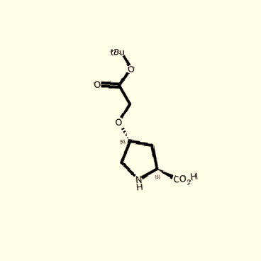 CC(C)(C)OC(=O)CO[C@H]1CN[C@H](C(=O)O)C1